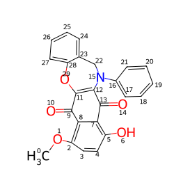 COc1ccc(O)c2c1C(=O)C1=C(C2=O)N(c2ccccc2)Cc2ccccc2O1